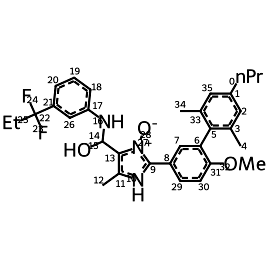 CCCc1cc(C)c(-c2cc(-c3[nH]c(C)c(C(O)Nc4cccc(C(F)(F)CC)c4)[n+]3[O-])ccc2OC)c(C)c1